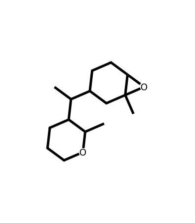 CC1OCCCC1C(C)C1CCC2OC2(C)C1